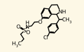 CCCS(=O)(=O)NCCOc1ccc2c(c1)C(C(C)c1ccc(Cl)cc1)NCC2